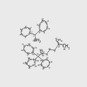 BC(c1ccccc1)c1ccccc1.C=C(C)CCC[SiH2]C(c1ccccc1)(c1ccccc1)n1ccnc1